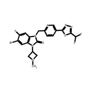 CN1CC(n2c(=O)n(Cc3ccc(-c4nnc(C(F)F)o4)cn3)c3cc(F)c(Br)cc32)C1